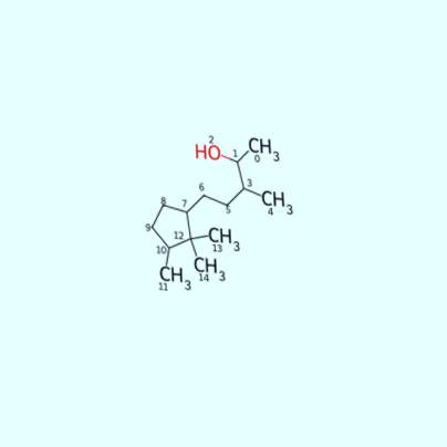 CC(O)C(C)CCC1CCC(C)C1(C)C